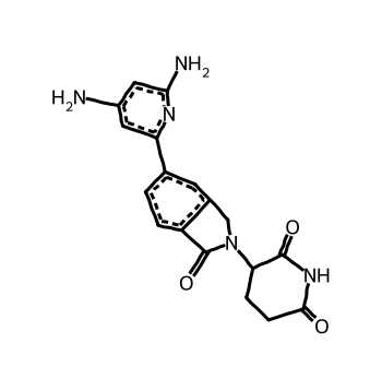 Nc1cc(N)nc(-c2ccc3c(c2)CN(C2CCC(=O)NC2=O)C3=O)c1